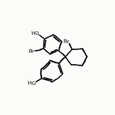 Oc1ccc(C2(c3ccc(O)c(Br)c3)CCCCC2Br)cc1